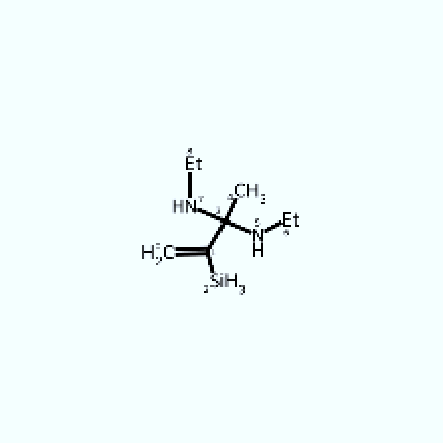 C=C([SiH3])C(C)(NCC)NCC